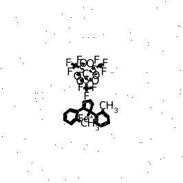 Cc1ccccc1C1=CC=C[C]1([Fe+])c1ccccc1C.O=S(=O)([C-](S(=O)(=O)C(F)(F)F)S(=O)(=O)C(F)(F)F)C(F)(F)F